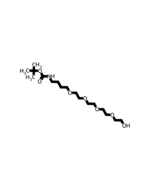 CC(C)(C)OC(=O)NCCCCOCCOCCOCCOCCO